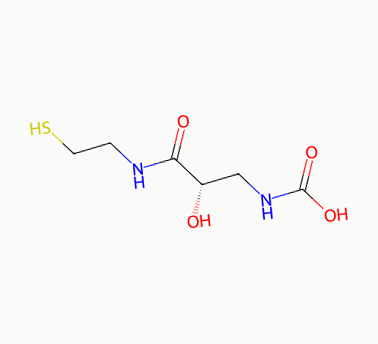 O=C(O)NC[C@H](O)C(=O)NCCS